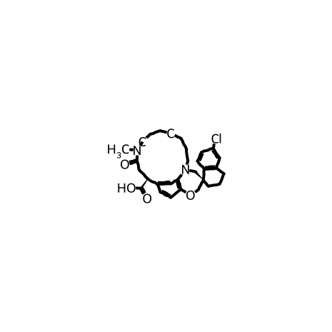 CN1CCCCCCCN2C[C@@]3(CCCc4cc(Cl)ccc43)COc3ccc(cc32)[C@@H](C(=O)O)CC1=O